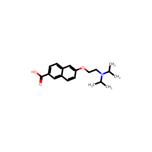 CC(C)N(CCOc1ccc2cc(C(=O)O)ccc2c1)C(C)C